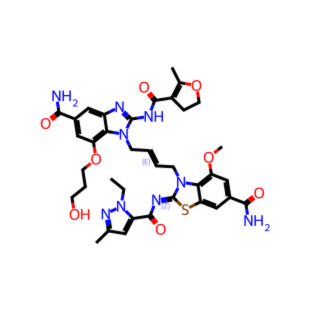 CCn1nc(C)cc1C(=O)/N=c1\sc2cc(C(N)=O)cc(OC)c2n1C/C=C/Cn1c(NC(=O)C2=C(C)OCC2)nc2cc(C(N)=O)cc(OCCCO)c21